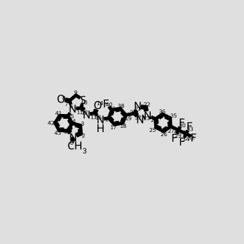 Cn1ccc2c(N3C(=O)CSC3=NC(=O)Nc3ccc(-c4ncn(-c5ccc(C(F)(F)C(F)(F)F)cc5)n4)cc3F)cccc21